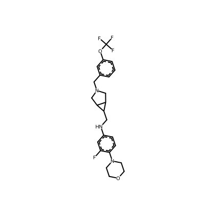 Fc1cc(NCC2C3CN(Cc4cccc(OC(F)(F)F)c4)CC23)ccc1N1CCOCC1